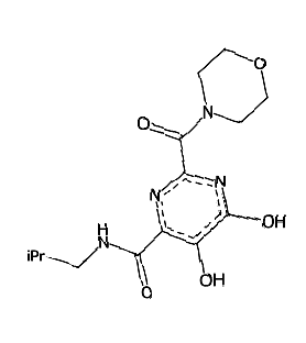 CC(C)CNC(=O)c1nc(C(=O)N2CCOCC2)nc(O)c1O